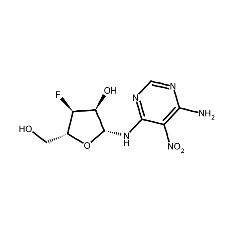 Nc1ncnc(N[C@@H]2O[C@H](CO)[C@@H](F)[C@H]2O)c1[N+](=O)[O-]